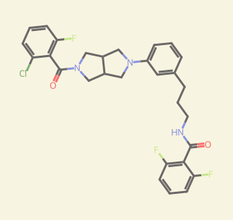 O=C(NCCCc1cccc(N2CC3CN(C(=O)c4c(F)cccc4Cl)CC3C2)c1)c1c(F)cccc1F